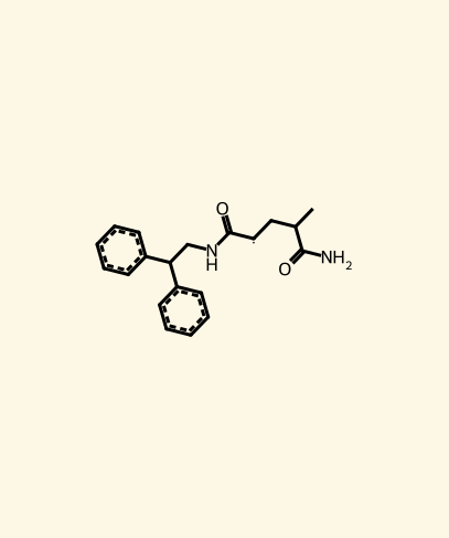 CC(C[CH]C(=O)NCC(c1ccccc1)c1ccccc1)C(N)=O